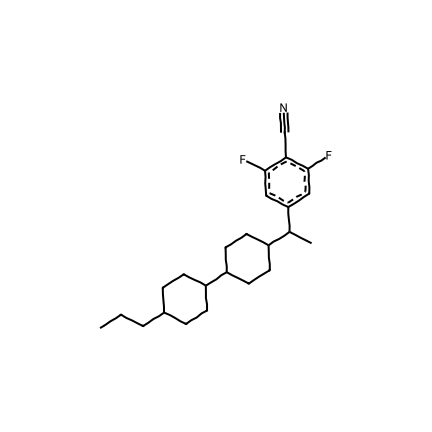 CCCC1CCC(C2CCC(C(C)c3cc(F)c(C#N)c(F)c3)CC2)CC1